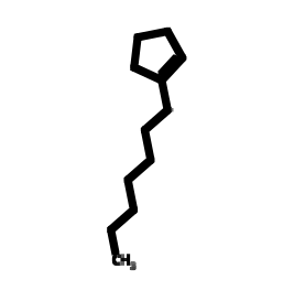 CCCCCC[CH]C1=CCCC1